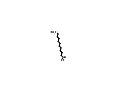 O=C(O)CCCCCCCCCCNO